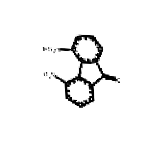 O=C(O)c1cccc2c1-c1c(cccc1[N+](=O)[O-])C2=O